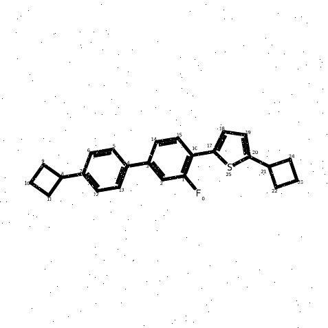 Fc1cc(-c2ccc(C3CCC3)cc2)ccc1-c1ccc(C2CCC2)s1